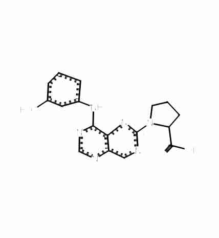 Cc1cccc(Nc2ncnc3cnc(N4CCCC4C(=O)O)nc23)c1